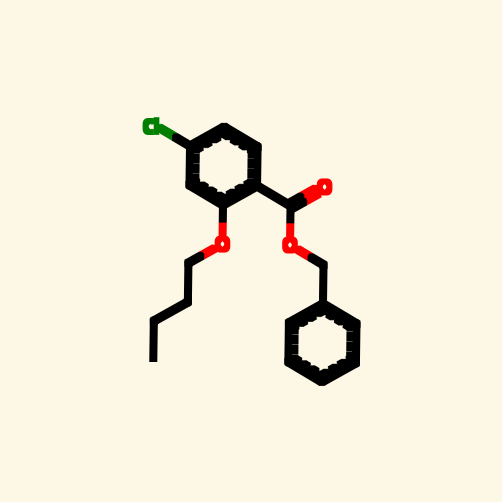 CCCCOc1cc(Cl)ccc1C(=O)OCc1ccccc1